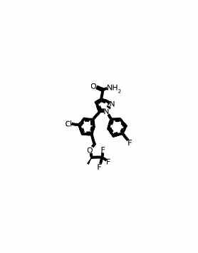 C[C@@H](OCc1cc(Cl)cc(-c2cc(C(N)=O)nn2-c2ccc(F)cc2)c1)C(F)(F)F